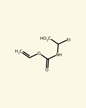 C=COC(=O)NC(CC)C(=O)O